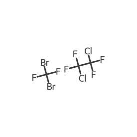 FC(F)(Br)Br.FC(F)(Cl)C(F)(F)Cl